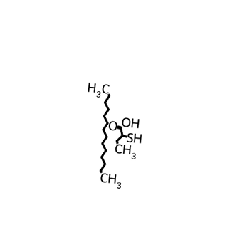 CCC(S)C(=O)O.CCCCCCCCCCCCCC